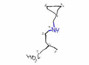 CC(CNC1CC1)C(=O)O